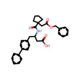 O=C(O)CC(Cc1ccc(-c2ccccc2)cc1)NC(=O)C1(CC(=O)OCc2ccccc2)CCCC1